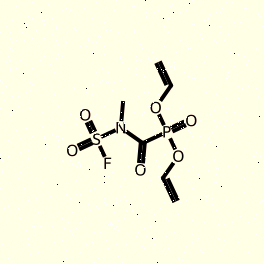 C=COP(=O)(OC=C)C(=O)N(C)S(=O)(=O)F